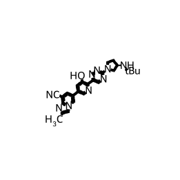 Cc1cn2cc(-c3cnc(-c4cnc(N5CC[C@@H](NC(C)(C)C)C5)nn4)c(O)c3)cc(C#N)c2n1